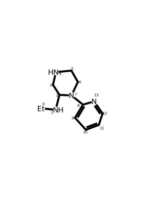 CCNC1CNCCN1c1ccccn1